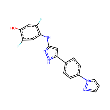 Oc1cc(F)c(Nc2cc(-c3ccc(-n4cccn4)cc3)[nH]n2)cc1F